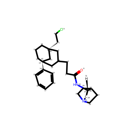 O=C(CCC1C[C@]2(CCCl)CCC[C@](c3ccccc3)(C1)C2)N[C@H]1CN2CCC1CC2